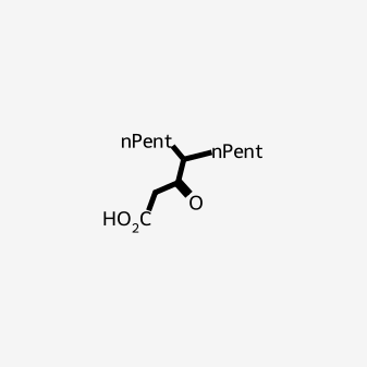 CCCCCC(CCCCC)C(=O)CC(=O)O